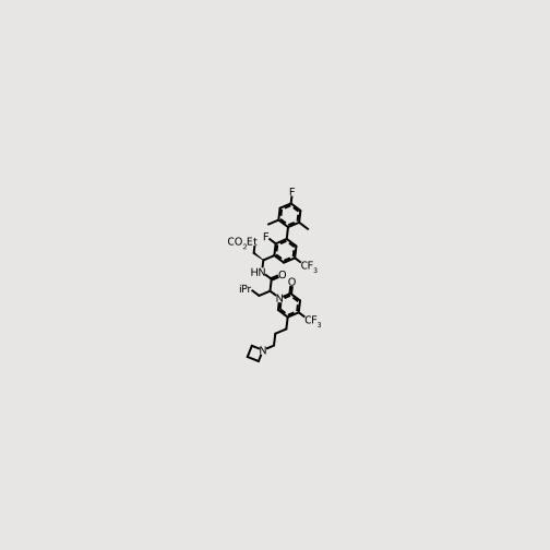 CCOC(=O)C[C@H](NC(=O)C(CC(C)C)n1cc(CCCN2CCC2)c(C(F)(F)F)cc1=O)c1cc(C(F)(F)F)cc(-c2c(C)cc(F)cc2C)c1F